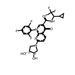 O=C(NC(C1CC1)C(F)(F)F)c1cn(-c2c(F)cc(F)cc2F)c2nc(N3C[C@@H](O)[C@H](O)C3)ccc2c1=O